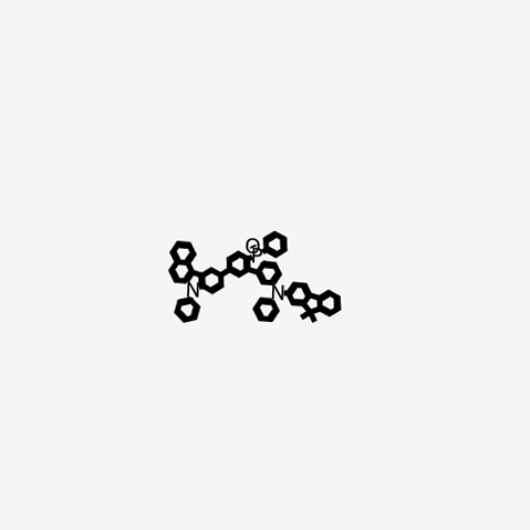 CC1(C)c2ccccc2-c2ccc(N(c3ccccc3)c3ccc4c(c3)-c3cc(C5C=Cc6c(c7c8ccccc8ccc7n6-c6ccccc6)C5)ccc3P4(=O)c3ccccc3)cc21